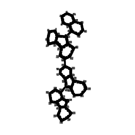 c1ccc2c(-n3c4ccccc4c4cc(-c5ccc6c(c5)c5ccccc5n6-c5cccc6c5oc5ccccc56)ccc43)cccc2c1